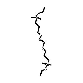 CCS[Si](C)(C)CCCSSSSCCC[Si](C)(C)SCC